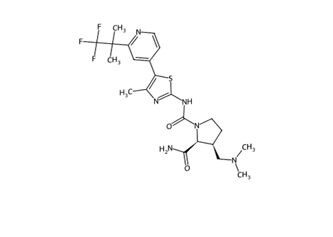 Cc1nc(NC(=O)N2CC[C@@H](CN(C)C)[C@H]2C(N)=O)sc1-c1ccnc(C(C)(C)C(F)(F)F)c1